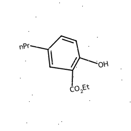 CCCc1ccc(O)c(C(=O)OCC)c1